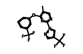 Cc1cnc(-n2cc(C(F)(F)F)cn2)nc1Oc1cccc(C(F)(F)F)c1